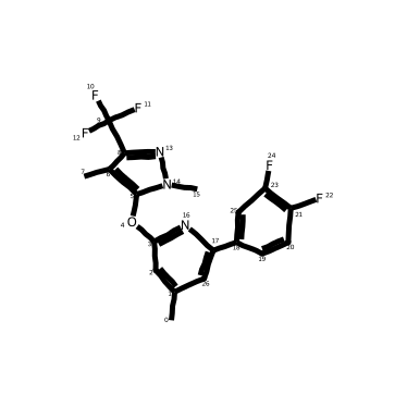 Cc1cc(Oc2c(C)c(C(F)(F)F)nn2C)nc(-c2ccc(F)c(F)c2)c1